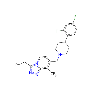 CC(C)Cc1nnc2c(C(F)(F)F)c(CN3CCC(c4ccc(F)cc4F)CC3)ccn12